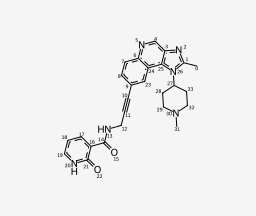 Cc1nc2cnc3ccc(C#CCNC(=O)c4ccc[nH]c4=O)cc3c2n1C1CCN(C)CC1